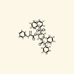 O=C(NCc1ccccc1)OC1CN(C(=O)C(c2ccccc2)c2ccccc2)CCN1S(=O)(=O)c1cccc2cccnc12